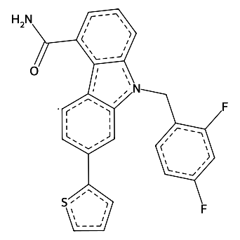 NC(=O)c1cccc2c1c1[c]cc(-c3cccs3)cc1n2Cc1ccc(F)cc1F